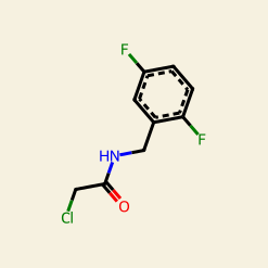 O=C(CCl)NCc1cc(F)ccc1F